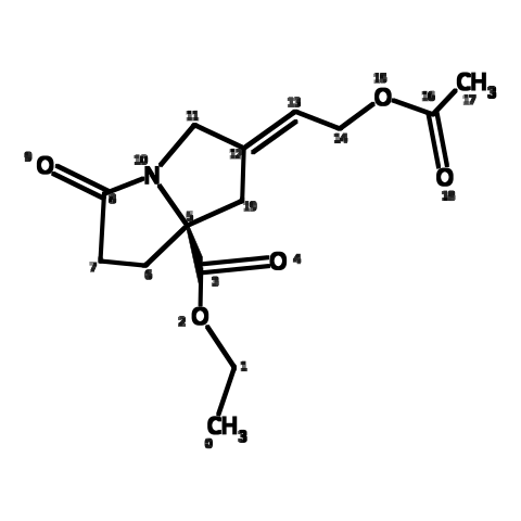 CCOC(=O)[C@@]12CCC(=O)N1CC(=CCOC(C)=O)C2